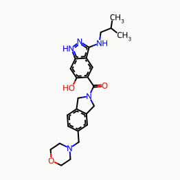 CC(C)CNc1n[nH]c2cc(O)c(C(=O)N3Cc4ccc(CN5CCOCC5)cc4C3)cc12